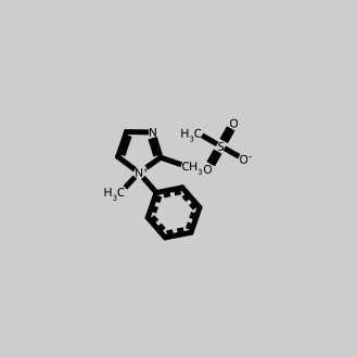 CC1=NC=C[N+]1(C)c1ccccc1.CS(=O)(=O)[O-]